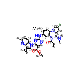 C=CC(=O)Nc1cc(Nc2ncc(C(=O)OC(C)C)c(N3CC4(CC4)c4nc(C)ccc43)n2)c(OC)cc1N1C[C@@H](F)C[C@@H]1CN(C)C